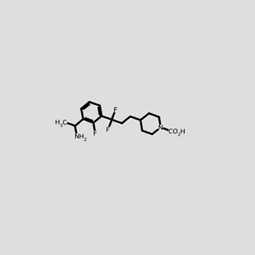 CC(N)c1cccc(C(F)(F)CCC2CCN(C(=O)O)CC2)c1F